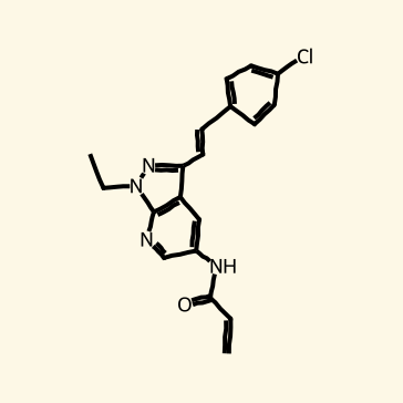 C=CC(=O)Nc1cnc2c(c1)c(C=Cc1ccc(Cl)cc1)nn2CC